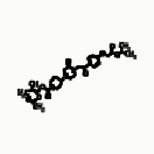 CC(=O)OC(OC(=O)N1CCC(N2CCN(CC(=O)c3ccc(OCC(=O)OC(C)C)cc3)C(=O)C2)CC1)C(C)C